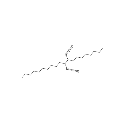 CCCCCCCCCCC(N=C=O)C(CCCCCCCC)N=C=O